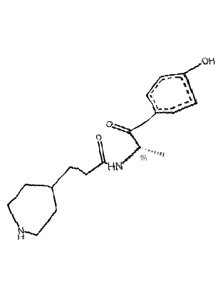 C[C@H](NC(=O)CCC1CCNCC1)C(=O)c1ccc(O)cc1